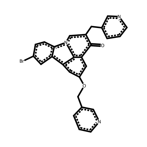 O=c1c(Cc2cccnc2)cn2c3ccc(Br)cc3c3cc(OCc4cccnc4)cc1c32